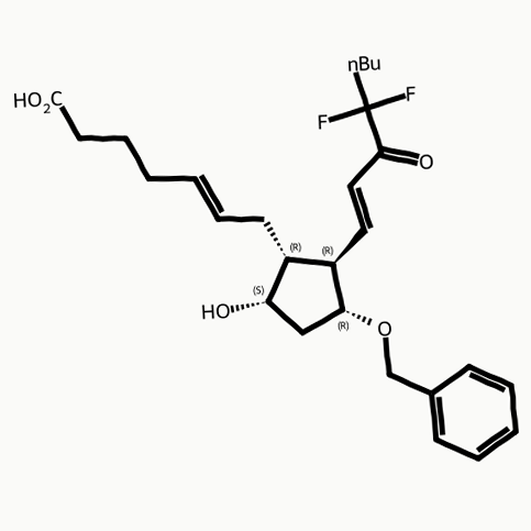 CCCCC(F)(F)C(=O)C=C[C@@H]1[C@@H](CC=CCCCC(=O)O)[C@@H](O)C[C@H]1OCc1ccccc1